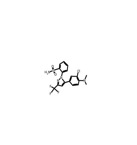 CN(C)c1ccc(-c2cc(C(F)(F)F)nn2-c2ccccc2S(N)(=O)=O)cc1Cl